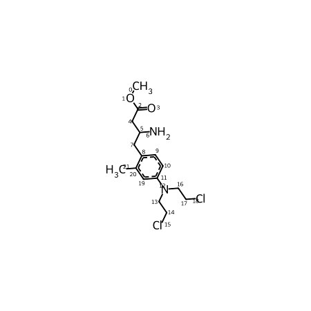 COC(=O)CC(N)Cc1ccc(N(CCCl)CCCl)cc1C